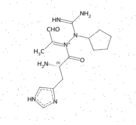 CC(C=O)=[N+](C(=O)[C@@H](N)Cc1c[nH]cn1)N(C(=N)N)C1CCCC1